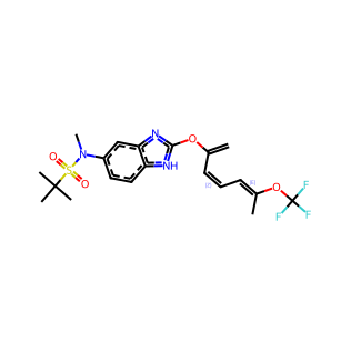 C=C(/C=C\C=C(/C)OC(F)(F)F)Oc1nc2cc(N(C)S(=O)(=O)C(C)(C)C)ccc2[nH]1